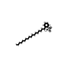 CCCCCCCCCCCCCCCCCCc1ccccc1S(=O)(=O)Cl